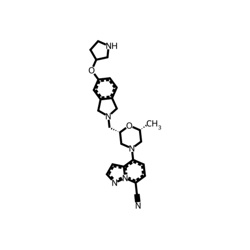 C[C@@H]1CN(c2ccc(C#N)n3nccc23)C[C@H](CN2Cc3ccc(OC4CCNC4)cc3C2)O1